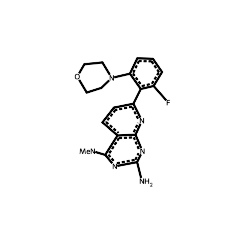 CNc1nc(N)nc2nc(-c3c(F)cccc3N3CCOCC3)ccc12